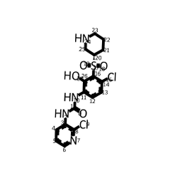 O=C(Nc1cccnc1Cl)Nc1ccc(Cl)c(S(=O)(=O)[C@H]2CCCNC2)c1O